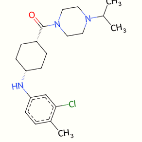 Cc1ccc(N[C@H]2CC[C@@H](C(=O)N3CCN(C(C)C)CC3)CC2)cc1Cl